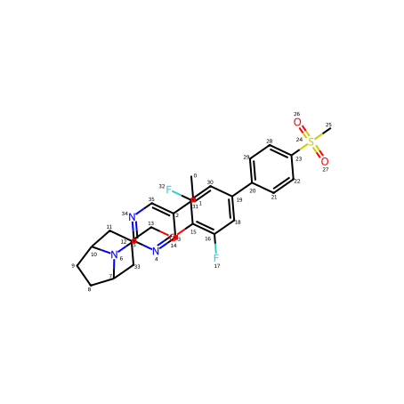 CCc1cnc(N2C3CCC2CC(COc2c(F)cc(-c4ccc(S(C)(=O)=O)cc4)cc2F)C3)nc1